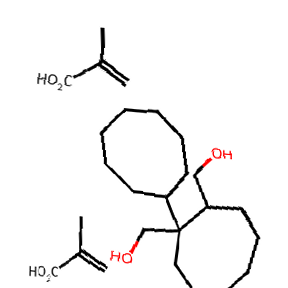 C=C(C)C(=O)O.C=C(C)C(=O)O.OCC1CCCCCCC1(CO)C1CCCCCCC1